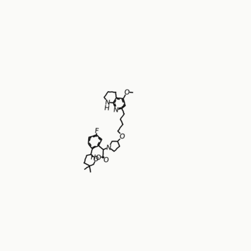 COc1cc(CCCCOC2CCN(C(C(=O)O)c3cc(F)ccc3C3CCC(C)(C)CO3)C2)nc2c1CCCN2